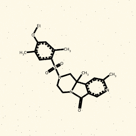 CCOc1cc(C)c(S(=O)(=O)N2CCN3C(=O)c4cnc(C)cc4C3(C)C2)cc1C